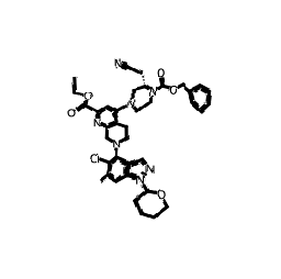 CCOC(=O)c1cc(N2CCN(C(=O)OCc3ccccc3)[C@@H](CC#N)C2)c2c(n1)CN(c1c(Cl)c(C)cc3c1cnn3C1CCCCO1)CC2